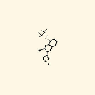 Cn1cc(-c2cc3cccc(B4OC(C)(C)C(C)(C)O4)c3cc2C#N)cn1